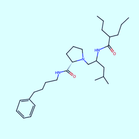 CCCC(CCC)C(=O)NC(CC(C)C)CN1CCC[C@H]1C(=O)NCCCCc1ccccc1